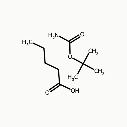 CC(C)(C)OC(N)=O.CCCCC(=O)O